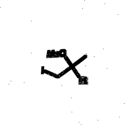 CCC(C)(CI)OC